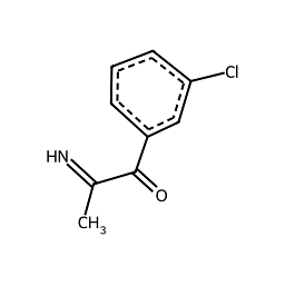 CC(=N)C(=O)c1cccc(Cl)c1